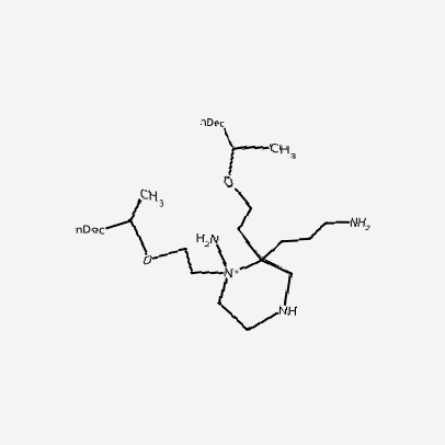 CCCCCCCCCCC(C)OCCC1(CCCN)CNCC[N+]1(N)CCOC(C)CCCCCCCCCC